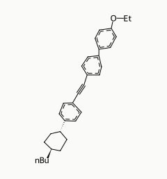 CCCC[C@H]1CC[C@H](c2ccc(C#Cc3ccc(-c4ccc(OCC)cc4)cc3)cc2)CC1